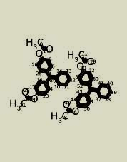 CC(=O)Oc1ccc(C(=C2CCCCC2)c2ccc(OC(C)=O)cc2)cc1.CC(=O)Oc1ccc(C(=C2CCCCC2)c2ccc(OC(C)=O)cc2)cc1